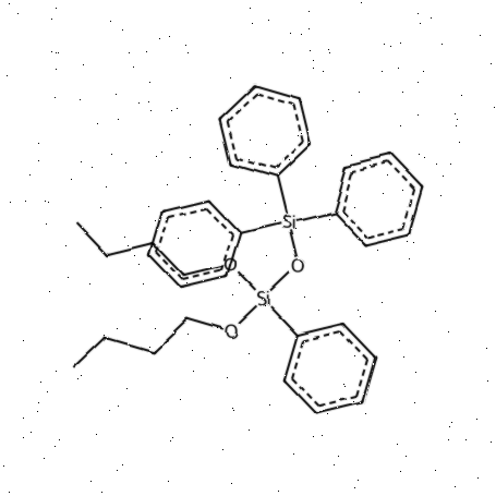 CCCCO[Si](OCCCC)(O[Si](c1ccccc1)(c1ccccc1)c1ccccc1)c1ccccc1